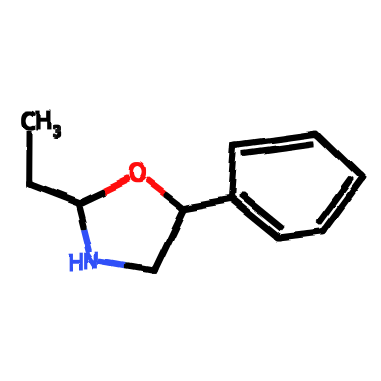 CCC1NCC(c2ccccc2)O1